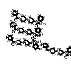 Cc1ccc2c(c1)[nH]c(=O)n2C1CCN(C2CCN(C(=O)c3cccnc3)CC2)CC1.O=C(c1cnccn1)N1CCC(N2CCC(n3c(=O)[nH]c4ccccc43)CC2)CC1.O=C(c1cncnc1)N1CCC(N2CCC(n3c(=O)[nH]c4ccccc43)CC2)CC1.O=c1[nH]c2ccccc2n1C1CCN(C2CCN(Cc3cccnc3)CC2)CC1